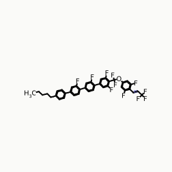 CCCCCc1ccc(-c2ccc(-c3ccc(-c4cc(F)c(C(F)(F)Oc5cc(F)c(/C=C/C(F)(F)F)c(F)c5)c(F)c4)c(F)c3)c(F)c2)cc1